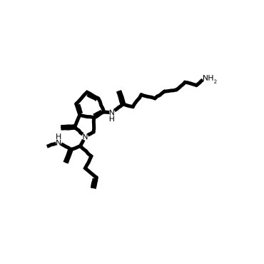 C=CCCC(C(=C)NC)N1Cc2c(NC(=C)CCCCCCCN)cccc2C1=C